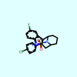 O=S(=O)(c1ccc(Cl)cc1)N1C2CCCC1c1c([nH]c3ccc(F)cc13)C2